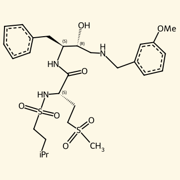 COc1cccc(CNC[C@@H](O)[C@H](Cc2ccccc2)NC(=O)[C@H](CCS(C)(=O)=O)NS(=O)(=O)CCC(C)C)c1